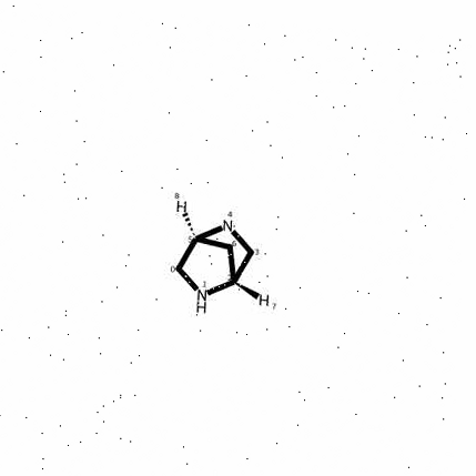 C1N[C@H]2C[N][C@H]1C2